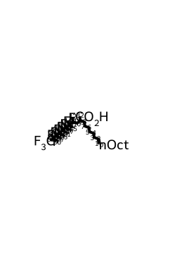 CCCCCCCCC=CCCCCCCC(CC(F)C(F)(F)C(F)(F)C(F)(F)C(F)(F)C(F)(F)C(F)(F)C(F)(F)F)C(=O)O